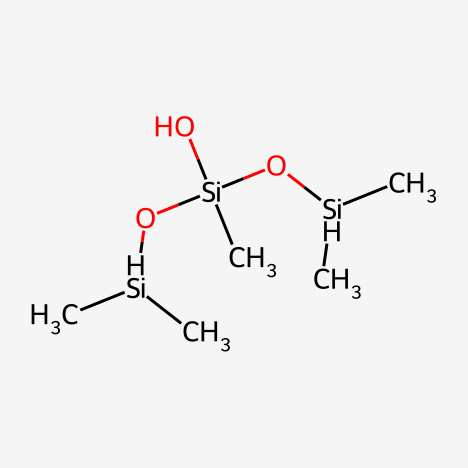 C[SiH](C)O[Si](C)(O)O[SiH](C)C